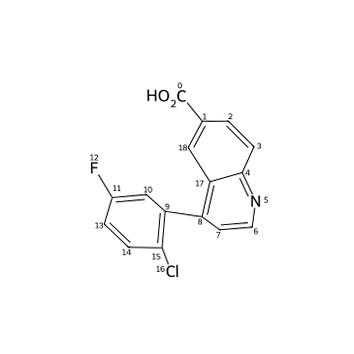 O=C(O)c1ccc2nccc(-c3cc(F)ccc3Cl)c2c1